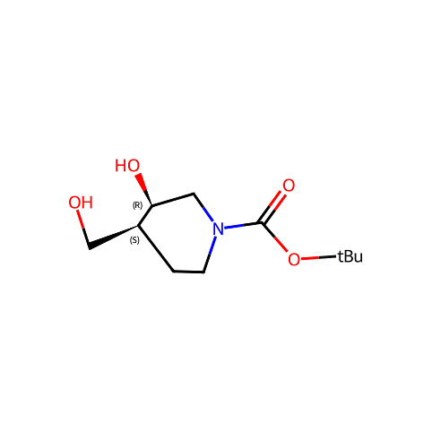 CC(C)(C)OC(=O)N1CC[C@@H](CO)[C@@H](O)C1